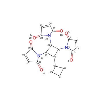 O=C1C=CC(=O)N1C1C(C2CCC2)C(N2C(=O)C=CC2=O)C1N1C(=O)C=CC1=O